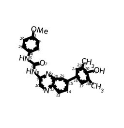 COc1ccc(NC(=O)Nc2cnc3ccc(-c4cc(C)c(O)c(C)c4)cc3n2)cc1